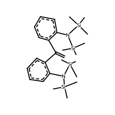 C=C(c1ccccc1N([Si](C)(C)C)[Si](C)(C)C)c1ccccc1N([Si](C)(C)C)[Si](C)(C)C